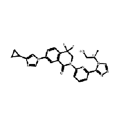 C[C@H](CO)n1cnnc1-c1cccc(N2CC(F)(F)c3ccc(-n4cnc(C5CC5)c4)cc3C2=O)n1